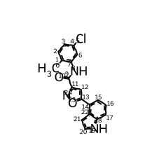 Cc1ccc(Cl)cc1NC(=O)c1cc(-c2cccc3[nH]ccc23)on1